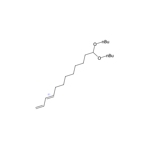 C=C/C=C/CCCCCCCC(OCCCC)OCCCC